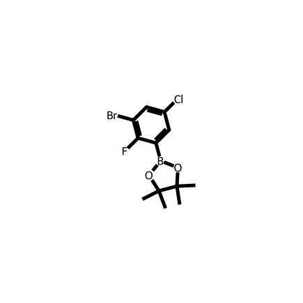 CC1(C)OB(c2cc(Cl)cc(Br)c2F)OC1(C)C